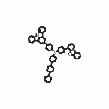 C1=c2c3ccccc3n3c2c(c2ccccc23)CC1c1ccc(N(c2ccc(-c3ccc(-c4ccccc4)cc3)cc2)c2ccc(-c3cccc4c3oc3ccccc34)cc2)cc1